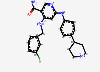 NC(=O)c1cnc(Nc2ccc(C3CCNCC3)cc2)cc1NCc1cccc(F)c1